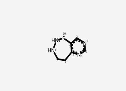 c1ncc2c(n1)CCNNS2